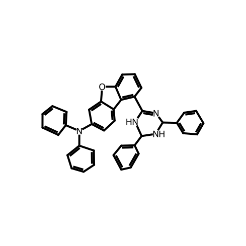 c1ccc(C2N=C(c3cccc4oc5cc(N(c6ccccc6)c6ccccc6)ccc5c34)NC(c3ccccc3)N2)cc1